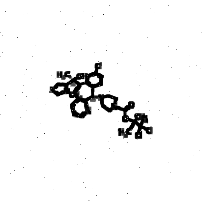 Cn1cncc1[C@@](C)(O)C1=Cc2cccnc2[C@@H](N2CCN(C(=O)OC(C)(C)C(Cl)(Cl)Cl)CC2)c2ccc(Cl)cc21